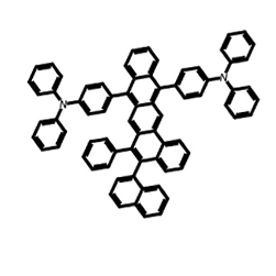 c1ccc(-c2c(-c3cccc4ccccc34)c3ccccc3c3cc4c(-c5ccc(N(c6ccccc6)c6ccccc6)cc5)c5ccccc5c(-c5ccc(N(c6ccccc6)c6ccccc6)cc5)c4cc23)cc1